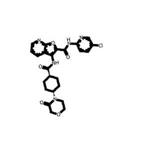 O=C(Nc1ccc(Cl)cn1)c1oc2ncccc2c1NC(=O)[C@H]1CC[C@H](N2CCOCC2=O)CC1